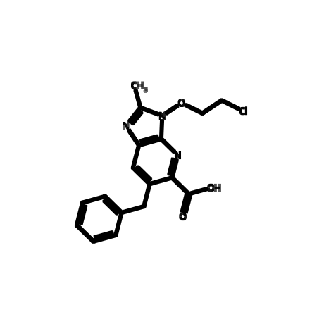 Cc1nc2cc(Cc3ccccc3)c(C(=O)O)nc2n1OCCCl